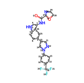 O=C(Nc1c[nH]c2ccc(-c3cnn(-c4ccc(C(F)(F)F)cc4)c3)cc12)c1ncco1